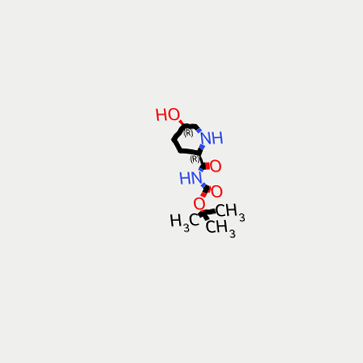 CC(C)(C)OC(=O)NC(=O)[C@H]1CC[C@@H](O)CN1